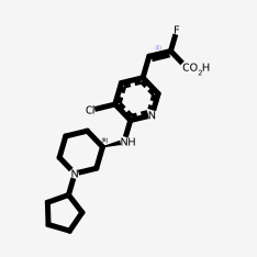 O=C(O)/C(F)=C\c1cnc(N[C@@H]2CCCN(C3CCCC3)C2)c(Cl)c1